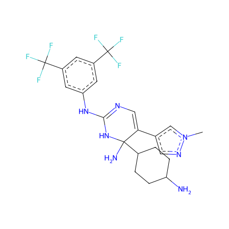 Cn1cc(C2=CN=C(Nc3cc(C(F)(F)F)cc(C(F)(F)F)c3)NC2(N)C2CCC(N)CC2)cn1